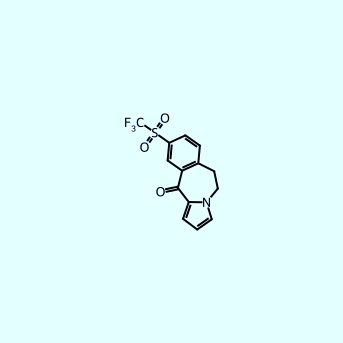 O=C1c2cc(S(=O)(=O)C(F)(F)F)ccc2CCn2cccc21